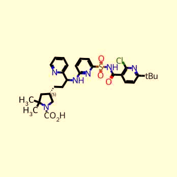 CC(C)(C)c1ccc(C(=O)NS(=O)(=O)c2cccc(NC(CC[C@@H]3CN(C(=O)O)C(C)(C)C3)c3ccccn3)n2)c(Cl)n1